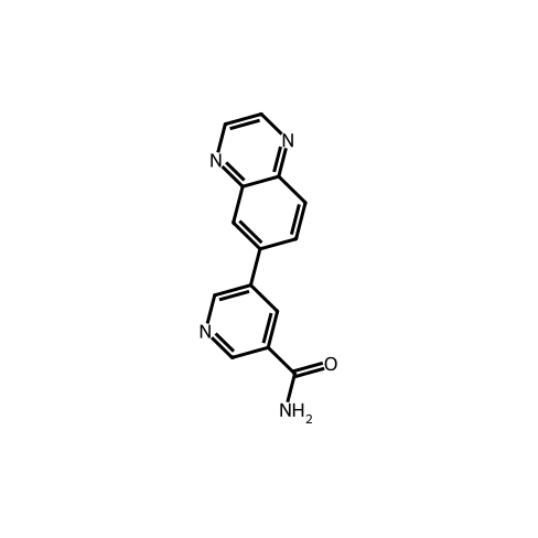 NC(=O)c1cncc(-c2ccc3nccnc3c2)c1